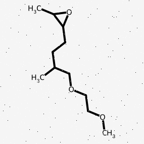 COCCOCC(C)CCC1OC1C